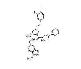 Cn1nnc2cc(CNC(=O)[C@@H]3CC(CCc4ccc(I)c(F)c4)CN3C(=O)C3C[C@@H](c4ccccc4)CN3)ccc21